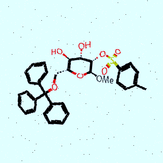 CO[C@H]1O[C@H](COC(c2ccccc2)(c2ccccc2)c2ccccc2)[C@@H](O)[C@H](O)[C@@H]1OS(=O)(=O)c1ccc(C)cc1